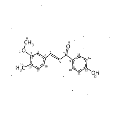 COc1cc(C=CC(=O)c2ccc(O)cc2)ccc1C